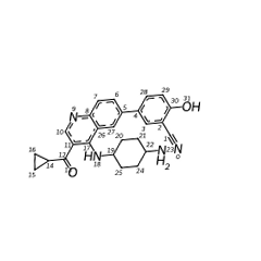 N#Cc1cc(-c2ccc3ncc(C(=O)C4CC4)c(NC4CCC(N)CC4)c3c2)ccc1O